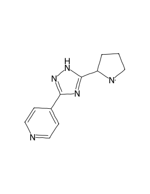 c1cc(-c2n[nH]c(C3CCC[N]3)n2)ccn1